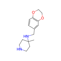 CC1(NCc2ccc3c(c2)OCCO3)CCNCC1